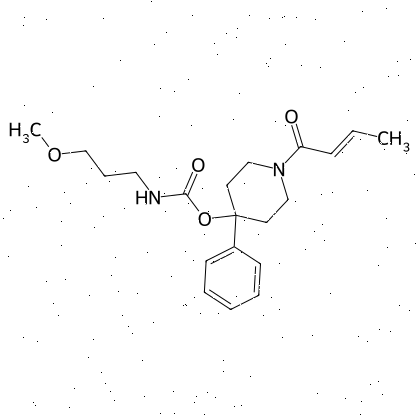 CC=CC(=O)N1CCC(OC(=O)NCCCOC)(c2ccccc2)CC1